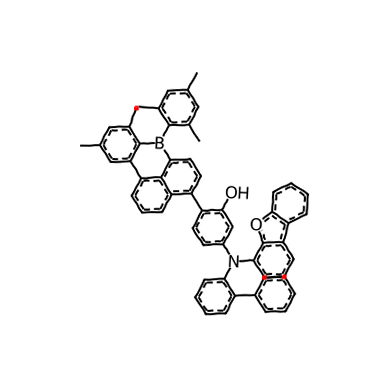 Cc1cc(C)c(B2c3c(C)cc(C)cc3-c3cccc4c(-c5ccc(N(c6ccccc6-c6ccccc6)c6cccc7c6oc6ccccc67)cc5O)ccc2c34)c(C)c1